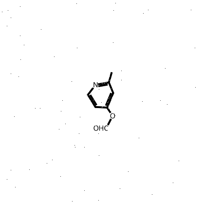 Cc1cc(OC=O)ccn1